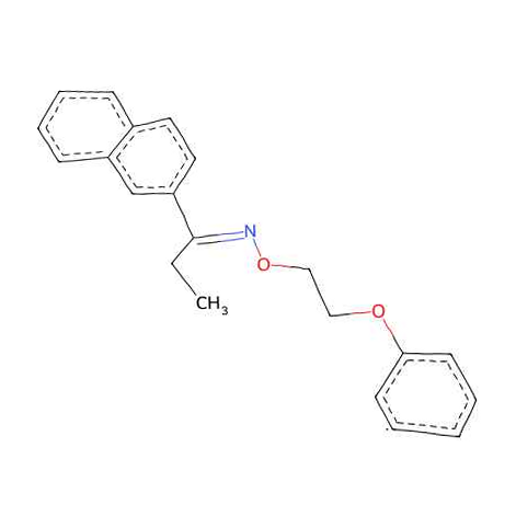 CCC(=NOCCOc1c[c]ccc1)c1ccc2ccccc2c1